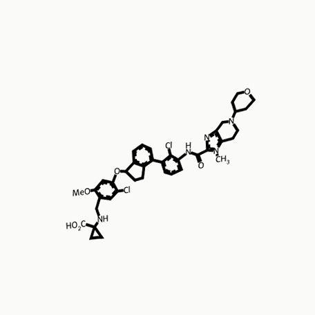 COc1cc(OC2CCc3c(-c4cccc(NC(=O)c5nc6c(n5C)CCN(C5CCOCC5)C6)c4Cl)cccc32)c(Cl)cc1CNC1(C(=O)O)CC1